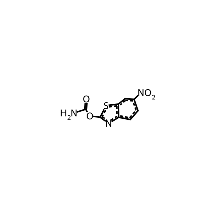 NC(=O)Oc1nc2ccc([N+](=O)[O-])cc2s1